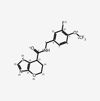 O=C(NCc1ccc(OC(F)(F)F)c(F)c1)C1CCOc2ncsc21